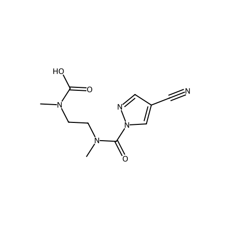 CN(CCN(C)C(=O)n1cc(C#N)cn1)C(=O)O